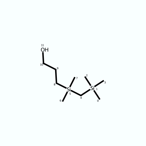 C[Si](C)(C)C[Si](C)(C)CCCO